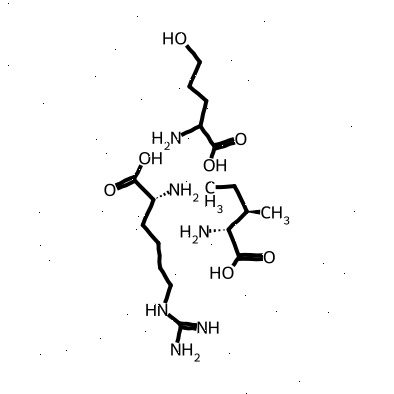 CC[C@@H](C)[C@@H](N)C(=O)O.N=C(N)NCCCC[C@@H](N)C(=O)O.NC(CCCO)C(=O)O